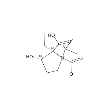 CC[C@@]1(C(=O)O)[C@@H](O)CC[N+]1(C(=O)[O-])C(C)(C)C